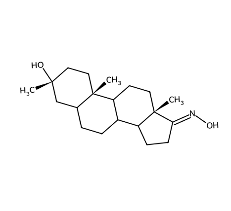 C[C@@]1(O)CC[C@@]2(C)C(CCC3C2CC[C@]2(C)/C(=N/O)CCC32)C1